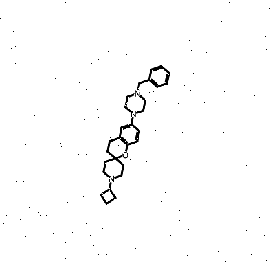 c1ccc(CN2CCN(c3ccc4c(c3)CCC3(CCN(C5CCC5)CC3)O4)CC2)cc1